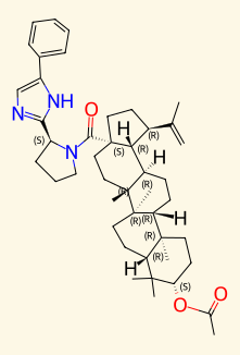 C=C(C)[C@@H]1CC[C@]2(C(=O)N3CCC[C@H]3c3ncc(-c4ccccc4)[nH]3)CC[C@]3(C)[C@H](CC[C@@H]4[C@@]5(C)CC[C@H](OC(C)=O)C(C)(C)[C@@H]5CC[C@]43C)[C@@H]12